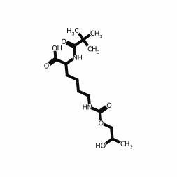 CC(O)COC(=O)NCCCCC(NC(=O)C(C)(C)C)C(=O)O